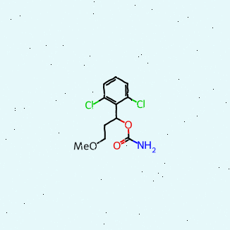 COCCC(OC(N)=O)c1c(Cl)cccc1Cl